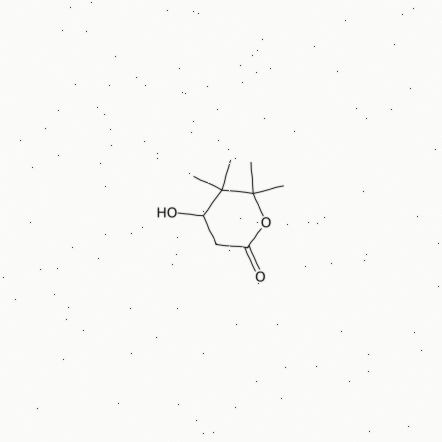 CC1(C)OC(=O)CC(O)C1(C)C